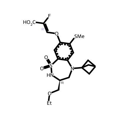 CCOC[C@@H]1CN(C23CC(C2)C3)c2cc(SC)c(O/C=C(\F)C(=O)O)cc2S(=O)(=O)N1